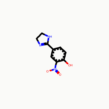 O=[N+]([O-])c1cc(C2=NCCN2)ccc1O